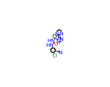 CC(NC(=O)Nc1ccc(Cl)c(C#N)c1)c1ncnn1-c1ncccn1